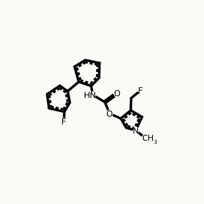 Cn1cc(CF)c(OC(=O)Nc2ccccc2-c2cccc(F)c2)c1